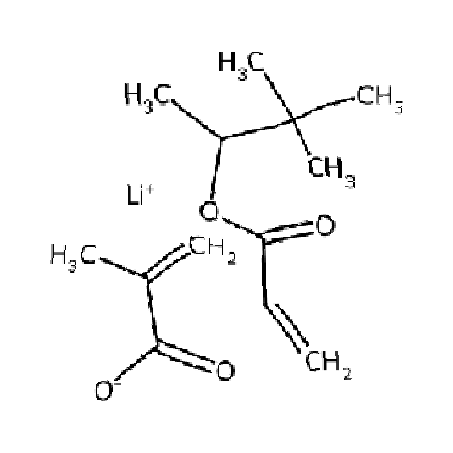 C=C(C)C(=O)[O-].C=CC(=O)OC(C)C(C)(C)C.[Li+]